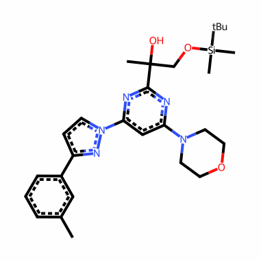 Cc1cccc(-c2ccn(-c3cc(N4CCOCC4)nc(C(C)(O)CO[Si](C)(C)C(C)(C)C)n3)n2)c1